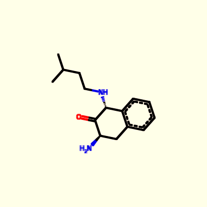 CC(C)CCN[C@H]1C(=O)[C@H](N)Cc2ccccc21